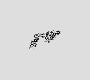 COc1cc(N2CCC(CN3CCC4(CCCN(c5cc6c(cc5F)C(=O)N(C5CCC(=O)NC5=O)C6=O)C4)CC3)CC2)c(-c2cnn(C)c2)cc1Nc1ncc(Br)c(Nc2ccc(-c3ccccc3)cc2P(C)(C)=O)n1